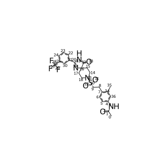 CC(=O)Nc1ccc(CCS(=O)(=O)N2CCC3(CC2)N=C(c2cccc(C(F)(F)F)c2)NC3=O)c(C)c1